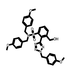 COc1ccc(CN(Cc2ccc(OC)cc2)S(=O)(=O)c2cccc(CO)c2-c2nnn(Cc3ccc(OC)cc3)n2)cc1